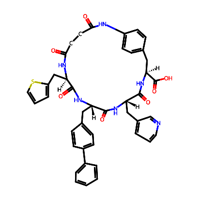 O=C1CCC(=O)N[C@H](Cc2cccs2)C(=O)N[C@@H](Cc2ccc(-c3ccccc3)cc2)C(=O)N[C@@H](Cc2cccnc2)C(=O)N[C@H](C(=O)O)Cc2ccc(cc2)N1